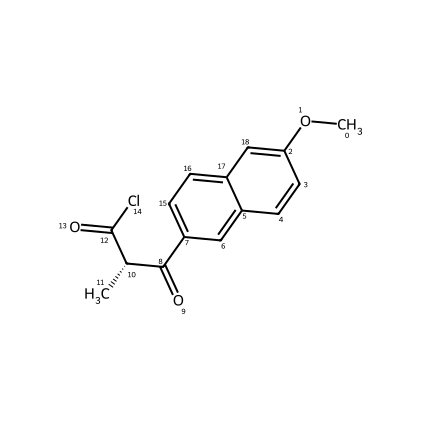 COc1ccc2cc(C(=O)[C@H](C)C(=O)Cl)ccc2c1